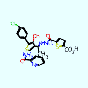 CC(=NNC(=O)c1ccc(C(=O)O)s1)c1csc(-c2ccc(Cl)cc2)c1O.NC(=O)c1ccccn1